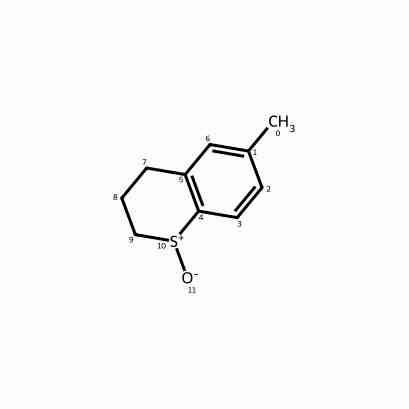 Cc1ccc2c(c1)CCC[S+]2[O-]